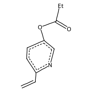 C=Cc1ccc(OC(=O)CC)cn1